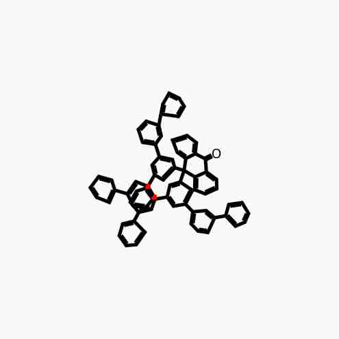 O=C1c2ccccc2C(c2cc(-c3cccc(-c4ccccc4)c3)cc(-c3cccc(-c4ccccc4)c3)c2)(c2cc(-c3cccc(-c4ccccc4)c3)cc(-c3cccc(-c4ccccc4)c3)c2)c2ccccc21